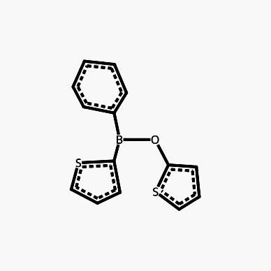 c1ccc(B(Oc2cccs2)c2cccs2)cc1